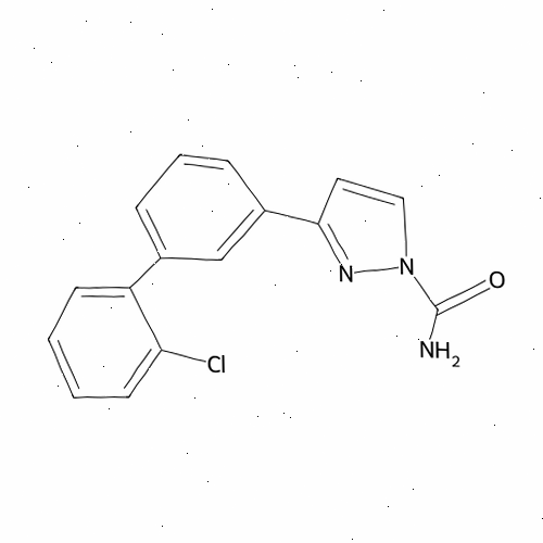 NC(=O)n1ccc(-c2cccc(-c3ccccc3Cl)c2)n1